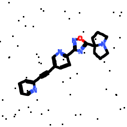 C(#Cc1ccccn1)c1ccc(-c2noc(C34CCCN3CCC4)n2)nc1